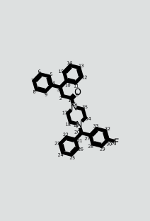 O=C(CC(c1ccccc1)c1ccccc1)N1CCN(C(c2ccccc2)c2ccc(F)cc2)CC1